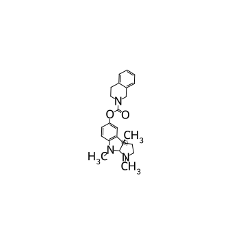 CN1CC[C@@]2(C)c3cc(OC(=O)N4CCc5ccccc5C4)ccc3N(C)C12